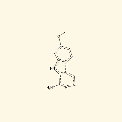 COc1ccc2c(c1)[nH]c1c(N)nccc12